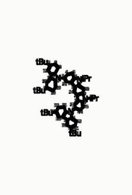 CC(C)n1c2ccc(-n3c4ccc(C(C)(C)C)cc4c4cc(C(C)(C)C)ccc43)cc2c2cc3c4cc(-n5c6ccc(C(C)(C)C)cc6c6cc(C(C)(C)C)ccc65)ccc4n(C(C)C)c3cc21